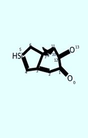 O=C1C=C2C=[SiH]CC23CCCC3C1=O